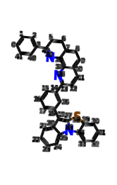 c1ccc(-c2ccc3ccc4ccc(-c5cccc(-c6c7ccccc7n7c6sc6ccccc67)c5)nc4c3n2)cc1